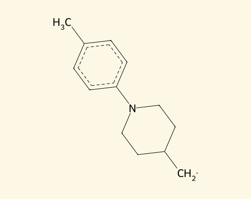 [CH2]C1CCN(c2ccc(C)cc2)CC1